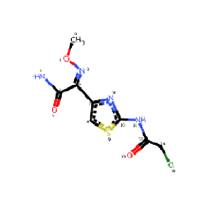 CO/N=C(\C([NH])=O)c1csc(NC(=O)CCl)n1